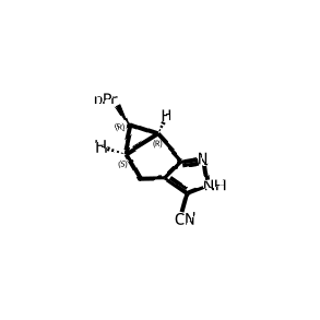 CCC[C@@H]1[C@@H]2Cc3c(n[nH]c3C#N)[C@H]12